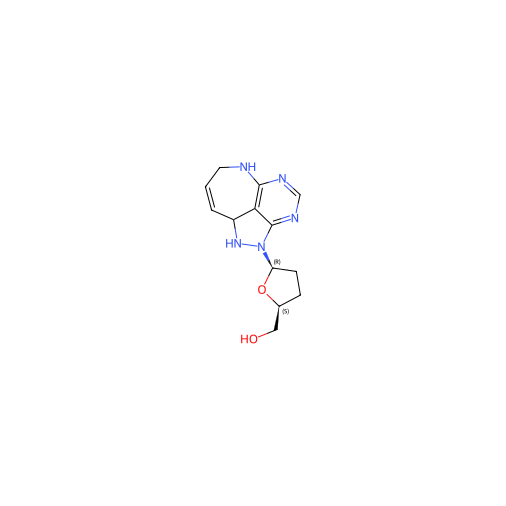 OC[C@@H]1CC[C@H](N2NC3C=CCNc4ncnc2c43)O1